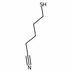 N#CCCCCS